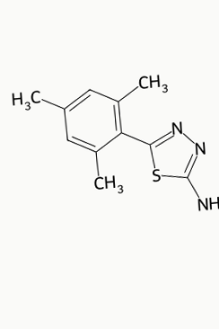 Cc1cc(C)c(-c2nnc(N)s2)c(C)c1